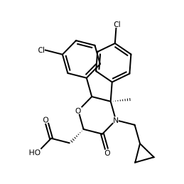 C[C@@]1(c2ccc(Cl)cc2)C(c2cccc(Cl)c2)O[C@@H](CC(=O)O)C(=O)N1CC1CC1